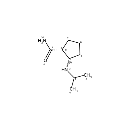 CC(C)N[C@H]1CCC[C@H]1C(N)=O